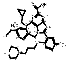 Cc1ccc(OCCCN2CCOCC2)c(-c2nc3nc(C(=O)O)nc(N[C@H](C)C4CC4)c3n2Cc2ccc(CI)cc2)c1